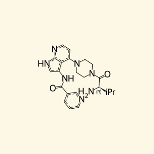 CC(C)[C@@H](N)C(=O)N1CCN(c2ccnc3[nH]cc(NC(=O)c4cccnc4)c23)CC1